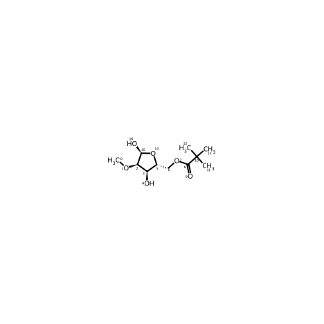 CO[C@@H]1[C@H](O)[C@@H](COC(=O)C(C)(C)C)O[C@@H]1O